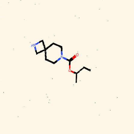 CCC(C)OC(=O)N1CCC2(CC1)CNC2